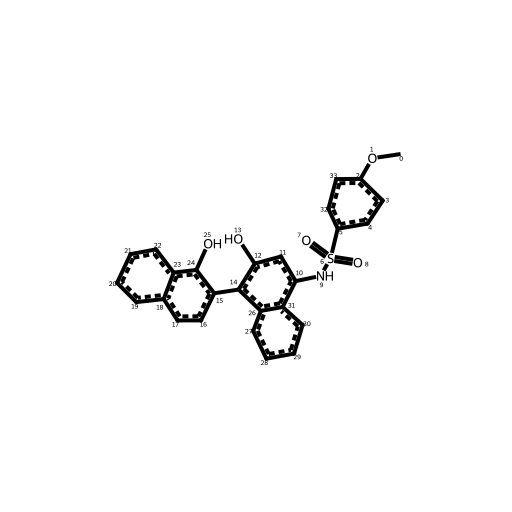 COc1ccc(S(=O)(=O)Nc2cc(O)c(-c3ccc4ccccc4c3O)c3ccccc23)cc1